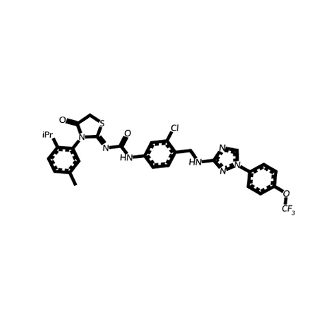 Cc1ccc(C(C)C)c(N2C(=O)CS/C2=N\C(=O)Nc2ccc(CNc3ncn(-c4ccc(OC(F)(F)F)cc4)n3)c(Cl)c2)c1